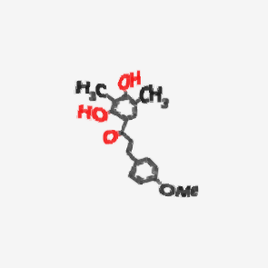 COc1ccc(/C=C/C(=O)c2cc(C)c(O)c(C)c2O)cc1